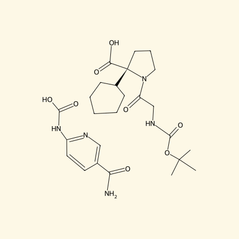 CC(C)(C)OC(=O)NCC(=O)N1CCC[C@]1(C(=O)O)C1CCCCC1.NC(=O)c1ccc(NC(=O)O)nc1